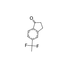 CC(F)(F)c1ccc2c(c1)CCC2=O